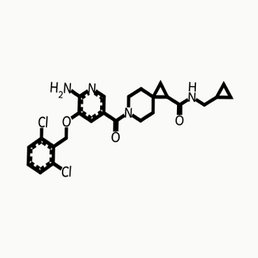 Nc1ncc(C(=O)N2CCC3(CC2)CC3C(=O)NCC2CC2)cc1OCc1c(Cl)cccc1Cl